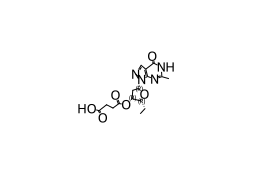 CC[C@H]1O[C@@H](n2ncc3c(=O)[nH]c(C)nc32)C[C@H]1OC(=O)CCC(=O)O